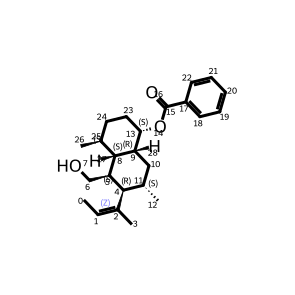 C/C=C(/C)[C@H]1[C@@H](CO)[C@H]2[C@@H](C[C@@H]1C)[C@@H](OC(=O)c1ccccc1)CC[C@@H]2C